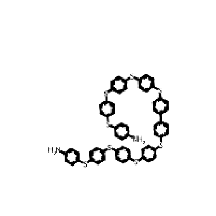 Nc1ccc(Sc2ccc(Sc3ccc(Sc4ccc(Sc5ccc(-c6ccc(Sc7ccc(Sc8ccc(Sc9ccc(Sc%10ccc(N)cc%10)cc9)cc8)cc7)cc6)cc5)cc4)cc3)cc2)cc1